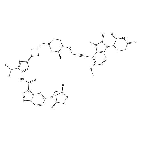 COc1ccc2c(c1C#CCO[C@@H]1CCN(C[C@H]3C[C@H](n4cc(NC(=O)c5cnn6ccc(N7C[C@H]8C[C@@H]7CO8)nc56)c(C(F)F)n4)C3)C[C@@H]1F)n(C)c(=O)n2C1CCC(=O)NC1=O